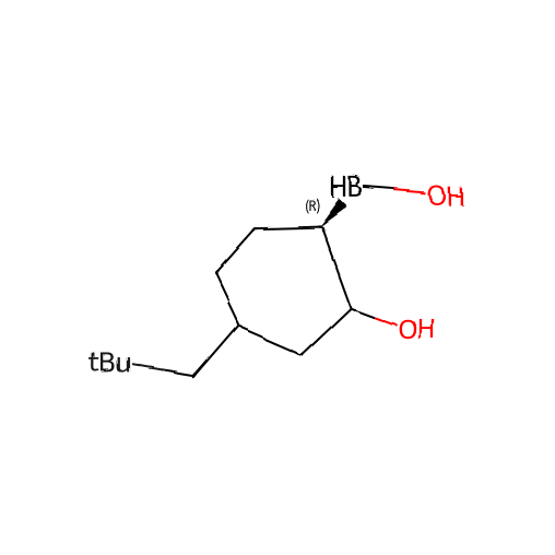 CC(C)(C)CC1CC[C@@H](BO)C(O)C1